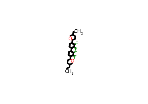 C=CC1CCC(c2ccc(-c3ccc(C4CCC(CCC)CO4)c(F)c3F)c(F)c2F)OC1